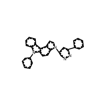 c1ccc(-c2cc(-n3ccc4c5c6ccccc6n(-c6ccccc6)c5ccc43)cnn2)cc1